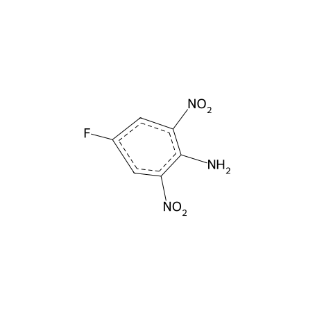 Nc1c([N+](=O)[O-])cc(F)cc1[N+](=O)[O-]